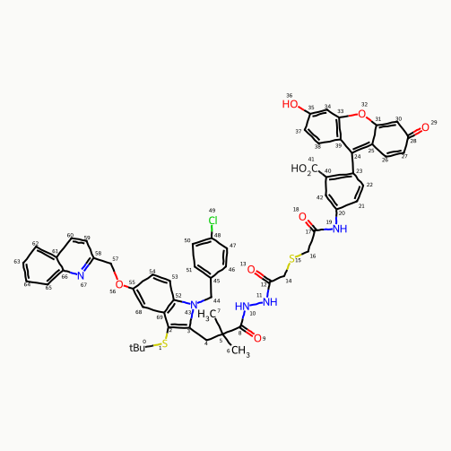 CC(C)(C)Sc1c(CC(C)(C)C(=O)NNC(=O)CSCC(=O)Nc2ccc(-c3c4ccc(=O)cc-4oc4cc(O)ccc34)c(C(=O)O)c2)n(Cc2ccc(Cl)cc2)c2ccc(OCc3ccc4ccccc4n3)cc12